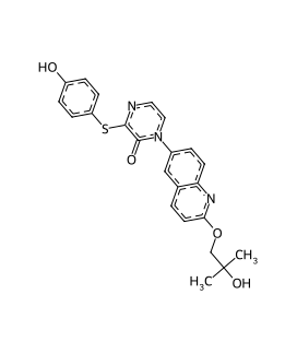 CC(C)(O)COc1ccc2cc(-n3ccnc(Sc4ccc(O)cc4)c3=O)ccc2n1